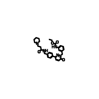 CCOC(=O)Nc1cccc(Cn2nc(-c3ccc(CNC(=O)CCN4CCCCC4)cc3)ccc2=O)c1